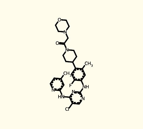 Cc1ccnc(Nc2nc(Nc3cc(C)c(C4CCN(C(=O)CN5CCOCC5)CC4)cc3F)ncc2Cl)c1